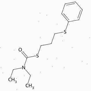 CCN(CC)C(=O)SCCCSc1ccccc1